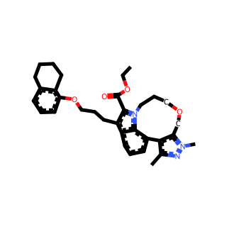 CCOC(=O)c1c(CCCOc2cccc3c2CCCC3)c2cccc3c2n1CCCOCc1c-3c(C)nn1C